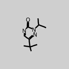 CC(C)n1nc(C(C)(C)C)cnc1=O